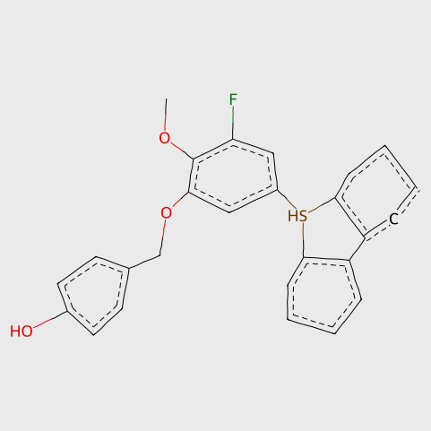 COc1c(F)cc([SH]2c3ccccc3-c3ccccc32)cc1OCc1ccc(O)cc1